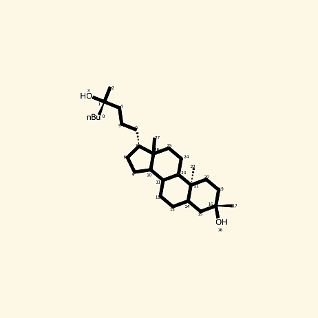 CCCC[C@](C)(O)CCC[C@H]1CCC2C3CCC4C[C@@](C)(O)CC[C@]4(C)C3CCC21C